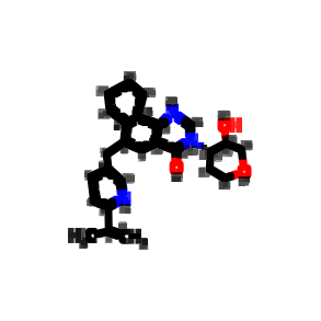 C=C(C)c1ccc(Cc2cc3c(=O)n([C@H]4CCOC[C@@H]4O)cnc3c3ccccc23)cn1